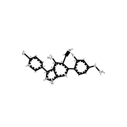 COc1ccc(-c2nc3[nH]nc(-c4ccc(Cl)nc4)c3c(C)c2C#N)c(F)c1